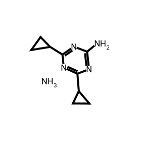 N.Nc1nc(C2CC2)nc(C2CC2)n1